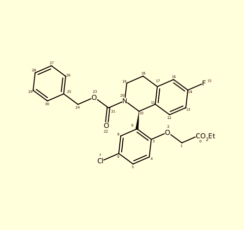 CCOC(=O)COc1ccc(Cl)cc1[C@@H]1c2ccc(F)cc2CCN1C(=O)OCc1ccccc1